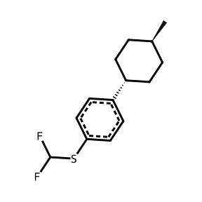 C[C@H]1CC[C@H](c2ccc(SC(F)F)cc2)CC1